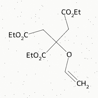 C=COC(CC(=O)OCC)(CC(=O)OCC)C(=O)OCC